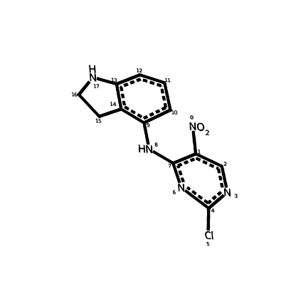 O=[N+]([O-])c1cnc(Cl)nc1Nc1cccc2c1CCN2